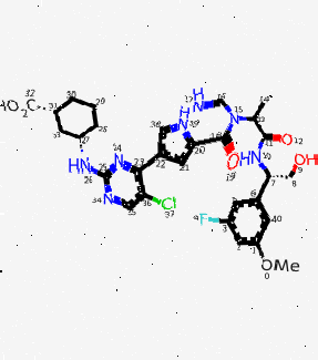 COc1cc(F)cc([C@@H](CO)NC(=O)C(C)N(C=N)C(=O)c2cc(-c3nc(N[C@H]4CCC[C@@H](C(=O)O)C4)ncc3Cl)c[nH]2)c1